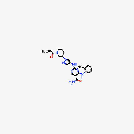 C=CC(=O)N1CCC[C@@H](n2cc(Nc3ncc(C(N)=O)c(Nc4ccccc4C#N)n3)cn2)C1